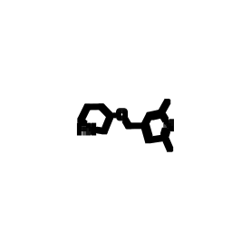 Cc1cc(CO[C@H]2CCCNC2)cc(C)n1